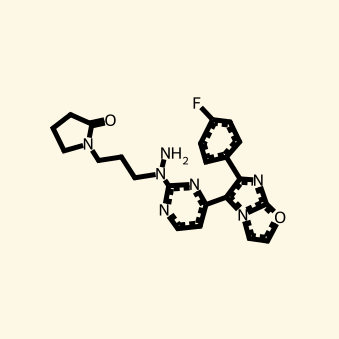 NN(CCCN1CCCC1=O)c1nccc(-c2c(-c3ccc(F)cc3)nc3occn23)n1